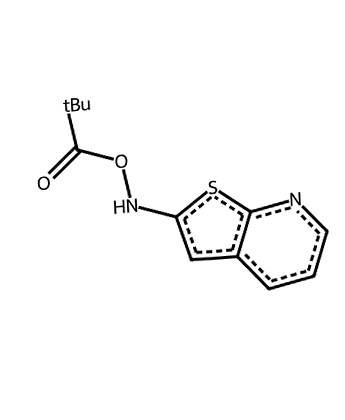 CC(C)(C)C(=O)ONc1cc2cccnc2s1